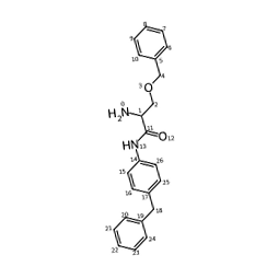 NC(COCc1ccccc1)C(=O)Nc1ccc(Cc2ccccc2)cc1